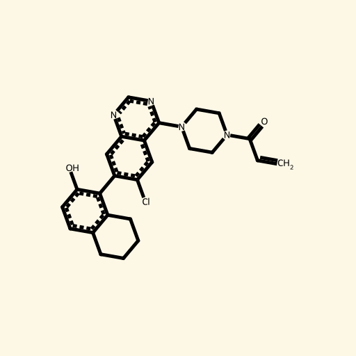 C=CC(=O)N1CCN(c2ncnc3cc(-c4c(O)ccc5c4CCCC5)c(Cl)cc23)CC1